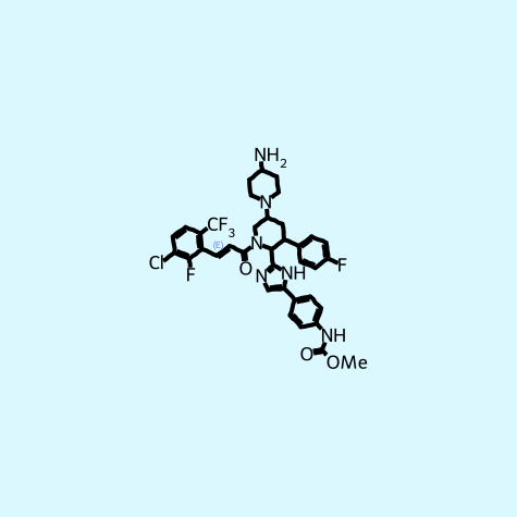 COC(=O)Nc1ccc(-c2cnc(C3C(c4ccc(F)cc4)CC(N4CCC(N)CC4)CN3C(=O)/C=C/c3c(C(F)(F)F)ccc(Cl)c3F)[nH]2)cc1